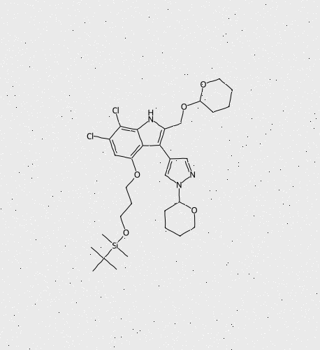 CC(C)(C)[Si](C)(C)OCCCOc1cc(Cl)c(Cl)c2[nH]c(COC3CCCCO3)c(-c3cnn(C4CCCCO4)c3)c12